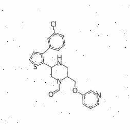 O=CN1CC(c2sccc2-c2cccc(Cl)c2)NCC1COc1cccnc1